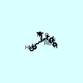 CC(=O)[C@H](CCN(CCCCc1ccc2c(n1)NCCC2)CCn1nc(C)cc1C)Nc1cc(C)nc(-c2ccncc2)[n+]1O